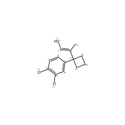 CC(=NO)C1(c2ccc(Cl)c(Cl)c2)CCC1